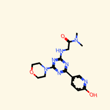 CN(C)C(=O)CNc1nc(-c2ccc(O)nc2)nc(N2CCOCC2)n1